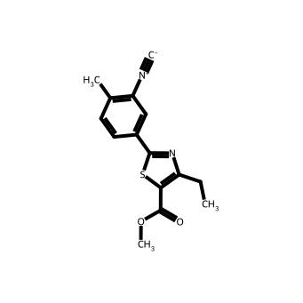 [C-]#[N+]c1cc(-c2nc(CC)c(C(=O)OC)s2)ccc1C